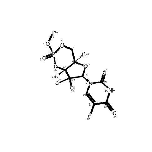 CC(C)OP1(=O)OC[C@H]2O[C@@H](n3cc(F)c(=O)[nH]c3=O)C(Cl)(Cl)[C@@H]2O1